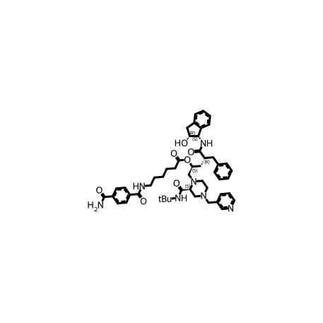 CC(C)(C)NC(=O)[C@@H]1CN(Cc2cccnc2)CCN1C[C@H](C[C@@H](Cc1ccccc1)C(=O)N[C@H]1c2ccccc2C[C@H]1O)OC(=O)CCCCCNC(=O)c1ccc(C(N)=O)cc1